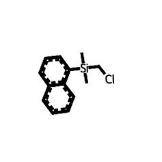 C[Si](C)(CCl)c1cccc2ccccc12